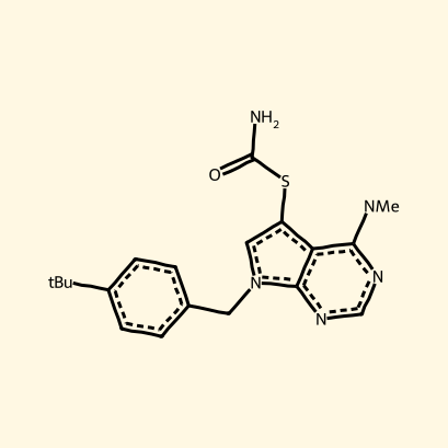 CNc1ncnc2c1c(SC(N)=O)cn2Cc1ccc(C(C)(C)C)cc1